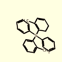 CC1=C([Si](c2ccccc2)(c2ccccc2)c2ccccc2C)CCC=C1